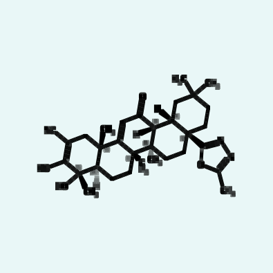 Cc1nnc([C@]23CCC(C)(C)C[C@H]2[C@H]2C(=O)C=C4[C@@]5(C)CC(C#N)=C(O)[C@@](C)(O)[C@@H]5CC[C@@]4(C)[C@]2(C)CC3)o1